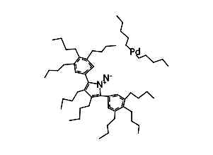 CCCCC1=C(c2cc(CCCC)c(CCCC)c(CCCC)c2)[N+](=[N-])C(c2cc(CCCC)c(CCCC)c(CCCC)c2)=C1CCCC.CCCC[CH2][Pd][CH2]CCCC